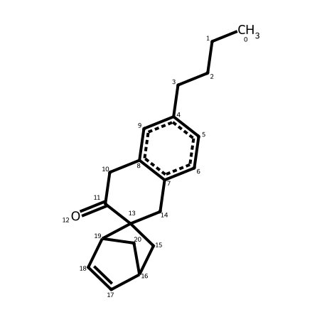 CCCCc1ccc2c(c1)CC(=O)C1(C2)CC2C=CC1C2